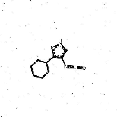 O=C=Nc1c[nH]nc1C1CCCCC1